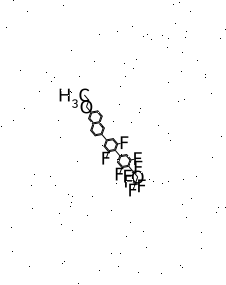 CCOc1ccc2cc(-c3cc(F)c(-c4cc(F)c(C(F)(F)OC(F)(F)F)c(F)c4)c(F)c3)ccc2c1